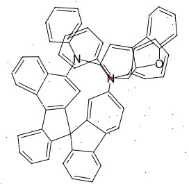 c1ccc(N(c2ccccc2)c2ccc3c(c2)C2(c4ccccc4-3)c3ccccc3-c3c2cc(N(c2ccccc2)c2ccc4oc5ccccc5c4c2)c2ccccc32)cc1